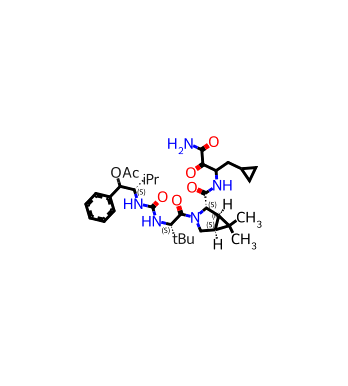 CC(=O)OC(c1ccccc1)[C@@H](NC(=O)N[C@H](C(=O)N1C[C@H]2[C@@H]([C@H]1C(=O)NC(CC1CC1)C(=O)C(N)=O)C2(C)C)C(C)(C)C)C(C)C